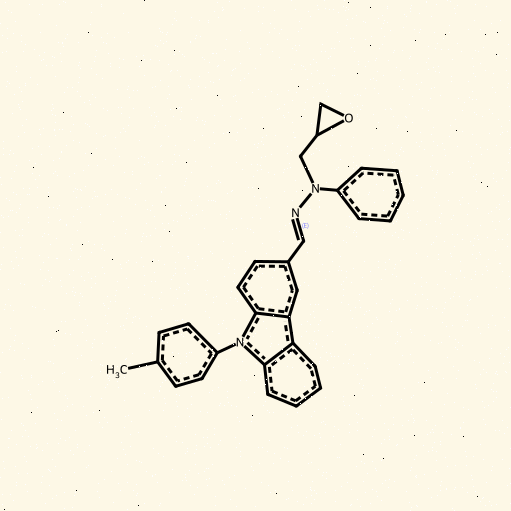 Cc1ccc(-n2c3ccccc3c3cc(/C=N/N(CC4CO4)c4ccccc4)ccc32)cc1